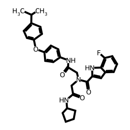 CC(C)c1ccc(Oc2ccc(NC(=O)CN(CC(=O)NC3CCCC3)C(=O)c3cc4cccc(F)c4[nH]3)cc2)cc1